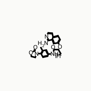 Cc1cc(NC(=O)C(CC(C)C)Oc2ccc3ccnc(N)c3c2)ccc1N1CCOC1=O